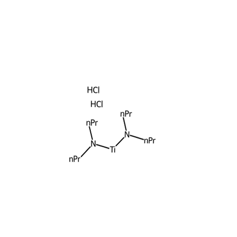 CCC[N](CCC)[Ti][N](CCC)CCC.Cl.Cl